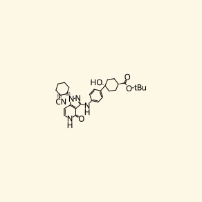 CC(C)(C)OC(=O)[C@H]1CC[C@@](O)(c2ccc(Nc3nn([C@H]4CCCC[C@@H]4C#N)c4cc[nH]c(=O)c34)cc2)CC1